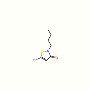 CCCCn1sc(Cl)cc1=O